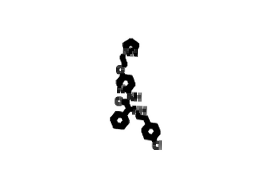 O=C(Nc1ccc(OCCn2cccn2)cn1)C(NCCc1ccc(Cl)cc1)c1ccccc1